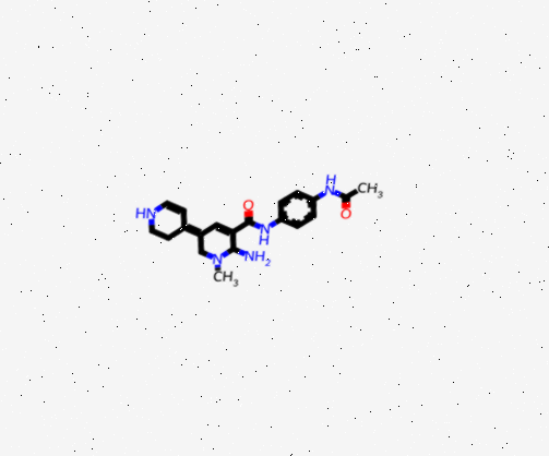 CC(=O)Nc1ccc(NC(=O)C2=CC(=C3C=CNCC3)CN(C)C2N)cc1